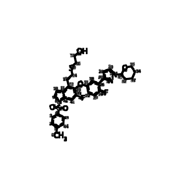 Cc1ccc(S(=O)(=O)n2ccc3c(CCSCCO)c(Oc4ccc(F)c(-c5ccn(C6CCCCO6)n5)c4)c(F)cc32)cc1